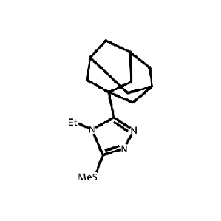 CCn1c(SC)nnc1C12CC3CC(CC(C3)C1)C2